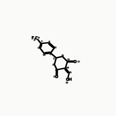 O=C1CC(c2ccc(C(F)(F)F)cc2)CC(=O)C1=CO